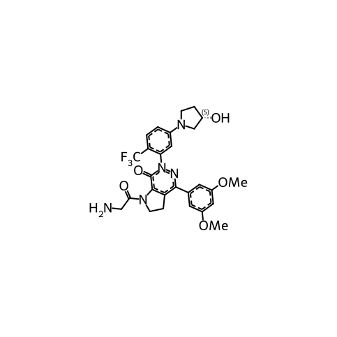 COc1cc(OC)cc(-c2nn(-c3cc(N4CC[C@H](O)C4)ccc3C(F)(F)F)c(=O)c3c2CCN3C(=O)CN)c1